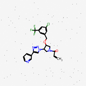 C=CC(=O)N1CC(OCc2cc(Cl)cc(C(F)(F)F)c2)C(n2cc(-c3cccnc3)nn2)C1